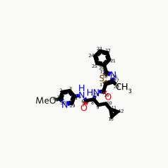 COc1ccc(NC(=O)C(CCC2CC2)NC(=O)c2sc(-c3ccccc3)nc2C)cn1